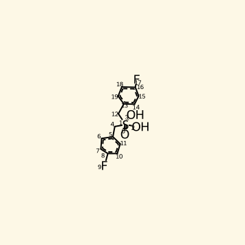 O=S(O)(O)(Cc1ccc(F)cc1)Cc1ccc(F)cc1